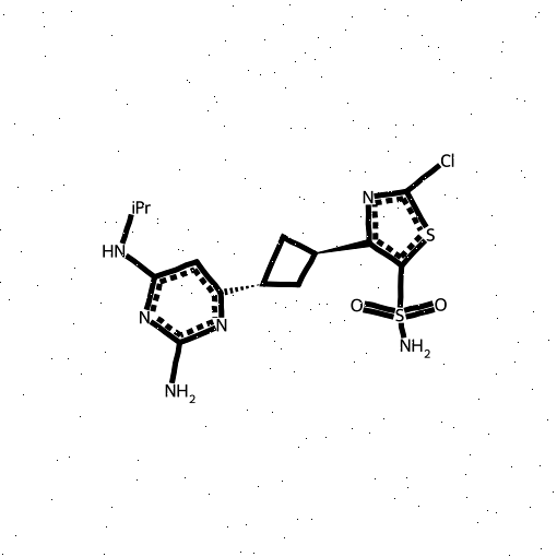 CC(C)Nc1cc([C@H]2C[C@H](c3nc(Cl)sc3S(N)(=O)=O)C2)nc(N)n1